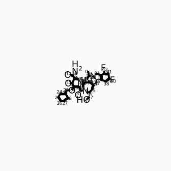 CC1C[C@]2(C=C[C@H](CO)N3C[C@H]2n2cc(C(N)=O)c(=O)c(OCc4ccccc4)c2C3=O)ON1Cc1c(F)cc(F)cc1F